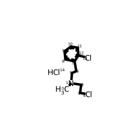 CN(CCCl)CCc1ccccc1Cl.Cl